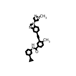 Cc1ccc(C(=O)Nc2cccc(C3CC3)c2)cc1C#Cc1ccc2c(c1)ncn2-c1cnn(C)c1